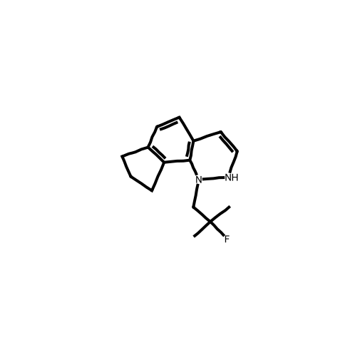 CC(C)(F)CN1NC=Cc2ccc3c(c21)CCC3